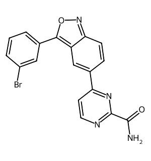 NC(=O)c1nccc(-c2ccc3noc(-c4cccc(Br)c4)c3c2)n1